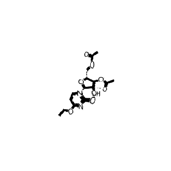 CCOc1ccn([C@@H]2O[C@H](COC(C)=O)C(OC(C)=O)[C@@]2(C)O)c(=O)n1